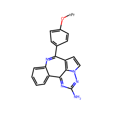 CCCOc1ccc(C2=Nc3ccccc3-c3nc(N)nn4ccc2c34)cc1